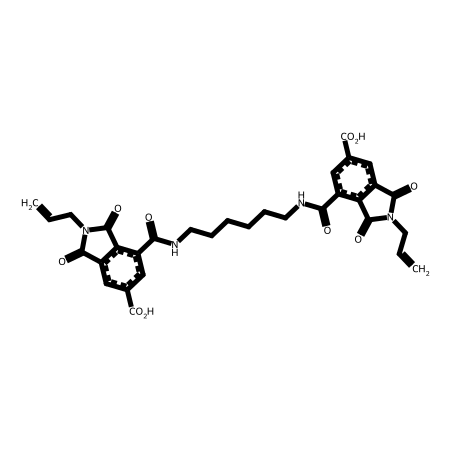 C=CCN1C(=O)c2cc(C(=O)O)cc(C(=O)NCCCCCCNC(=O)c3cc(C(=O)O)cc4c3C(=O)N(CC=C)C4=O)c2C1=O